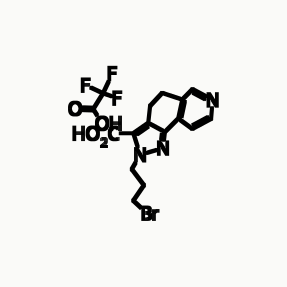 O=C(O)C(F)(F)F.O=C(O)c1c2c(nn1CCCBr)-c1ccncc1CC2